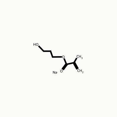 C=C(C)C(=O)OCCCO.[Na]